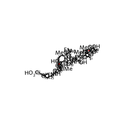 CCN(C(C)=O)C1COC(CC2C(O[C@H]3C#C/C=C\C#C[C@]4(O)CC(=O)C(NC(=O)OC)=C3/C4=C\CSSC(C)(C)CC(=O)N/N=C(\C)c3ccc(OCCCC(=O)O)cc3)OC(C)C(NOC3CC(O)C(SC(=O)c4c(C)c(I)c(OC5OC(C)C(O)C(OC)C5O)c(OC)c4OC)C(C)O3)C2O)CC1OC